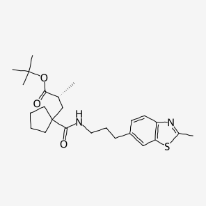 Cc1nc2ccc(CCCNC(=O)C3(C[C@@H](C)C(=O)OC(C)(C)C)CCCC3)cc2s1